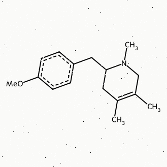 COc1ccc(CC2CC(C)=C(C)CN2C)cc1